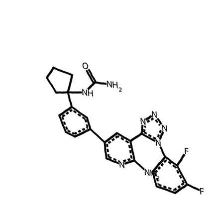 NC(=O)NC1(c2cccc(-c3cnc(N)c(-c4nnnn4-c4cccc(F)c4F)c3)c2)CCCC1